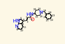 O=C(C=Cc1c[nH]c2ncccc12)NC1CCN(Cc2ccccc2)CC1